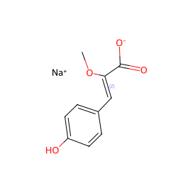 CO/C(=C\c1ccc(O)cc1)C(=O)[O-].[Na+]